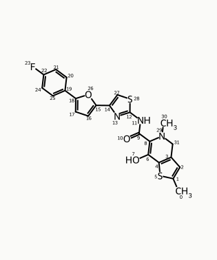 Cc1cc2c(s1)C(O)=C(C(=O)Nc1nc(-c3ccc(-c4ccc(F)cc4)o3)cs1)N(C)C2